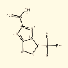 O=C(O)c1nc2n(n1)C(C(F)(F)F)CC2